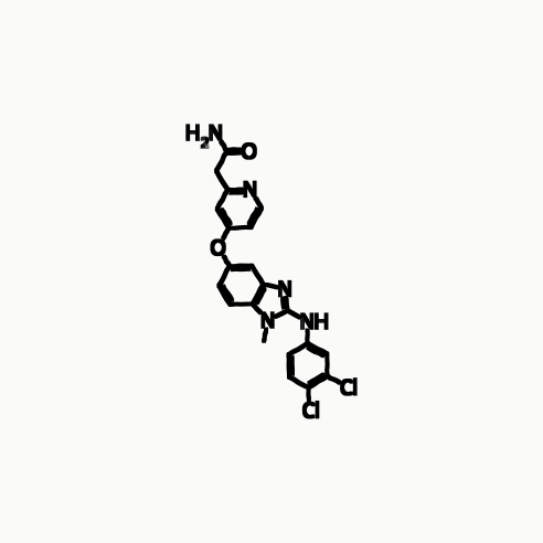 Cn1c(Nc2ccc(Cl)c(Cl)c2)nc2cc(Oc3ccnc(CC(N)=O)c3)ccc21